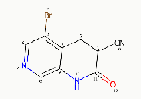 N#CC1Cc2c(Br)cncc2NC1=O